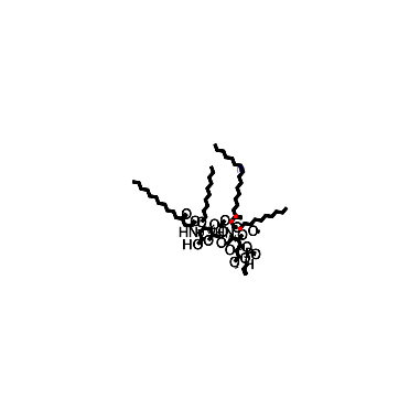 C=CCOC(=O)O[C@@H]1C(COC2OC(COC)[C@@H](O[PH](=O)OCC=C)C(OCCC(CCCCCCC)OC)[C@H]2NC(=O)CCCCCCCCC/C=C\CCCCCC)OC(O)[C@H](NC(=O)CC(=O)CCCCCCCCCCC)C1OCCCCCCCCCC